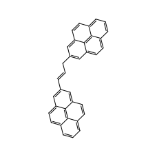 C(=Cc1cc2ccc3cccc4ccc(c1)c2c34)Cc1cc2ccc3cccc4ccc(c1)c2c34